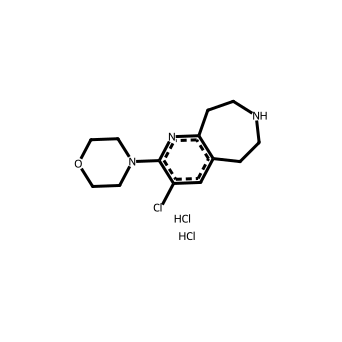 Cl.Cl.Clc1cc2c(nc1N1CCOCC1)CCNCC2